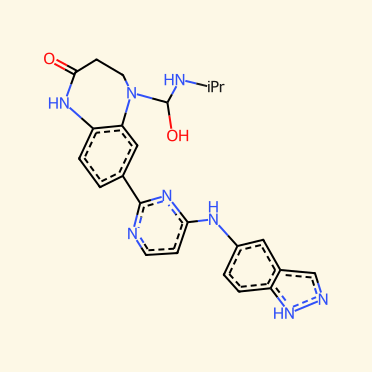 CC(C)NC(O)N1CCC(=O)Nc2ccc(-c3nccc(Nc4ccc5[nH]ncc5c4)n3)cc21